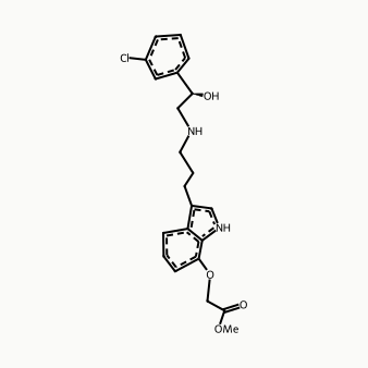 COC(=O)COc1cccc2c(CCCNC[C@H](O)c3cccc(Cl)c3)c[nH]c12